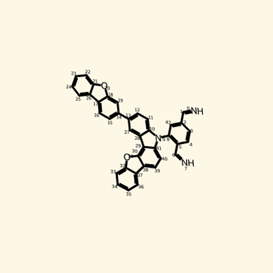 N=Cc1ccc(C=N)c(-n2c3ccc(-c4ccc5c(c4)oc4ccccc45)cc3c3c4oc5ccccc5c4ccc32)c1